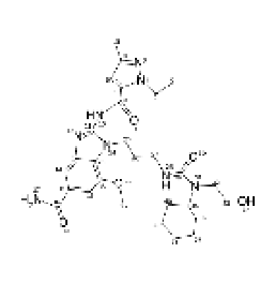 CCn1nc(C)cc1C(=O)Nc1nc2cc(C(N)=O)cc(OC)c2n1CCCNC(=O)N(CCO)C1CCCCC1